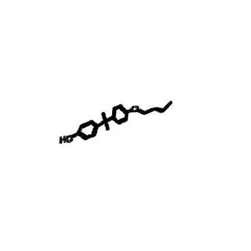 CCCCOc1ccc(C(C)(C)c2ccc(O)cc2)cc1